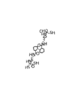 O=C[C@H](CS)NSSCCNC(=O)c1ccccc1-c1ccccc1C(=O)NCCSN[C@@H](CS)C(=O)S